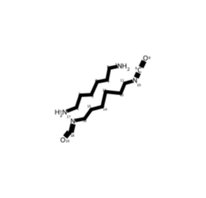 NCCCCCCN.O=C=NCCCCCCN=C=O